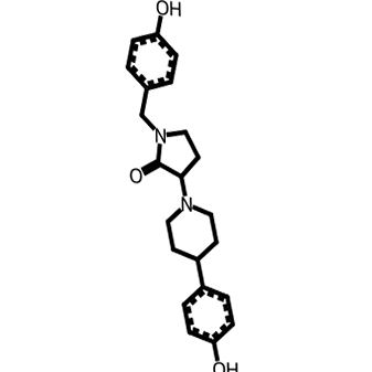 O=C1C(N2CCC(c3ccc(O)cc3)CC2)CCN1Cc1ccc(O)cc1